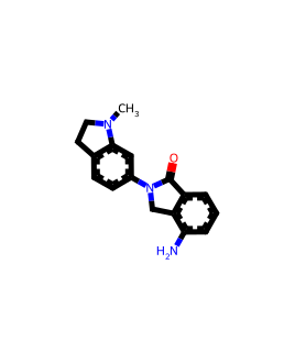 CN1CCc2ccc(N3Cc4c(N)cccc4C3=O)cc21